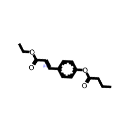 CCCC(=O)Oc1ccc(/C=C/C(=O)OCC)cc1